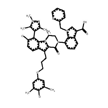 Cc1cc(OCCCc2c3n(c4c(-c5c(C)nn(C)c5C)c(Cl)ccc24)[C@H](C)CN(c2cccc4c(C(=O)O)cn(Cc5ccccn5)c24)C3=O)cc(C)c1Cl